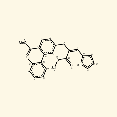 COC(=O)c1ccc(CC(=Cc2cncs2)C(=O)OC(C)(C)C)cc1-c1ccccc1C